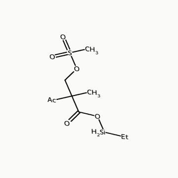 CC[SiH2]OC(=O)C(C)(COS(C)(=O)=O)C(C)=O